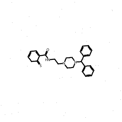 O=C(NCCN1CCN(C(c2ccccc2)c2ccccc2)CC1)C1=CC=CCC1=S